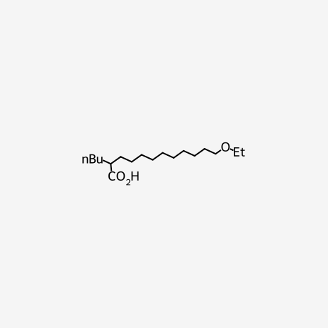 CCCCC(CCCCCCCCCCOCC)C(=O)O